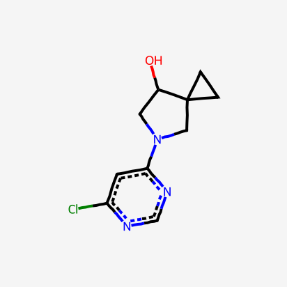 OC1CN(c2cc(Cl)ncn2)CC12CC2